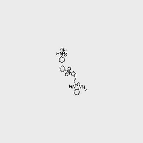 CS(=O)(=O)Nc1ccc(-c2cccc(S(=O)(=O)n3ccc(C=CC(=O)Nc4ccccc4N)c3)c2)cc1